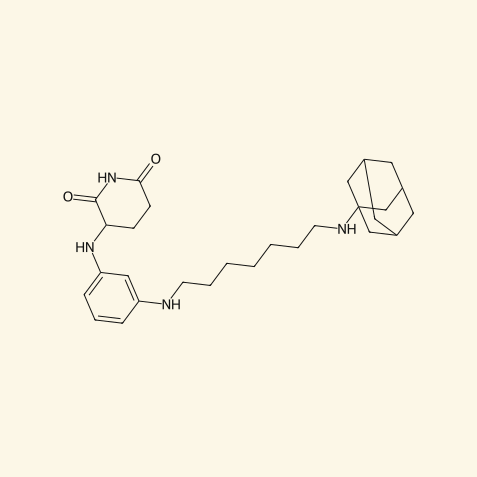 O=C1CCC(Nc2cccc(NCCCCCCCNC34CC5CC(CC(C5)C3)C4)c2)C(=O)N1